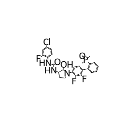 CP(C)(=O)c1ccccc1-c1ccc(N2CC[C@@H](NC(=O)Nc3ccc(Cl)cc3F)C2O)c(F)c1F